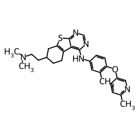 Cc1ccc(Oc2ccc(Nc3ncnc4sc5c(c34)CCC(CCN(C)C)C5)cc2C)cn1